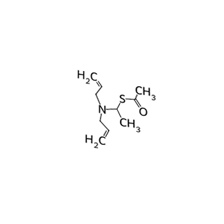 C=CCN(CC=C)C(C)SC(C)=O